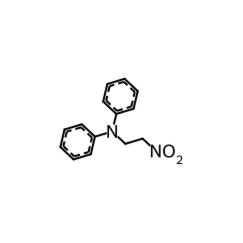 O=[N+]([O-])CCN(c1ccccc1)c1ccccc1